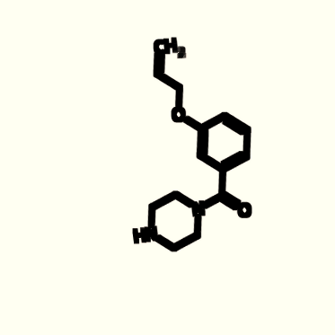 C=CCOc1cccc(C(=O)N2CCNCC2)c1